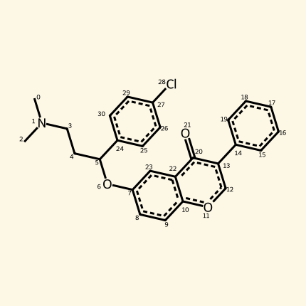 CN(C)CCC(Oc1ccc2occ(-c3ccccc3)c(=O)c2c1)c1ccc(Cl)cc1